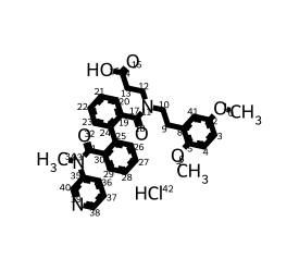 COc1ccc(OC)c(CCN(CCC(=O)O)C(=O)c2ccccc2-c2ccccc2C(=O)N(C)c2cccnc2)c1.Cl